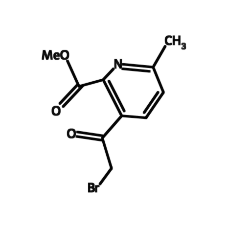 COC(=O)c1nc(C)ccc1C(=O)CBr